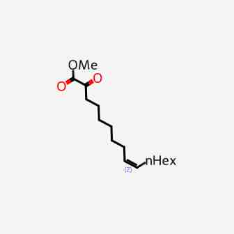 CCCCCC/C=C\CCCCCCC(=O)C(=O)OC